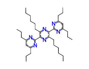 CCCCCCc1nc(-c2nc(CCC)cc(CCC)n2)c(CCCCCC)nc1-c1nc(CCC)cc(CCC)n1